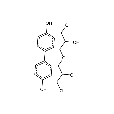 OC(CCl)COCC(O)CCl.Oc1ccc(-c2ccc(O)cc2)cc1